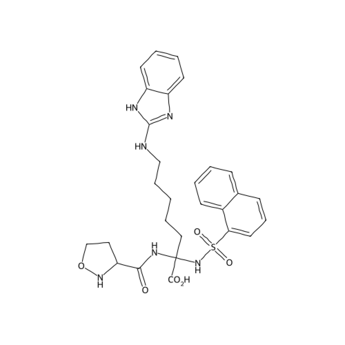 O=C(NC(CCCCCNc1nc2ccccc2[nH]1)(NS(=O)(=O)c1cccc2ccccc12)C(=O)O)C1CCON1